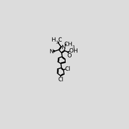 CCc1c(C#N)c(-c2ccc(-c3ccc(Cl)cc3Cl)cc2)c(C(=O)O)n1C